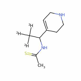 [2H]C([2H])([2H])C(NC(C)=S)C1=CCNCC1